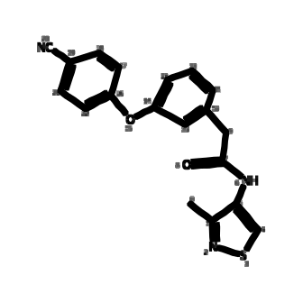 Cc1nscc1NC(=O)Cc1cccc(Oc2ccc(C#N)cc2)c1